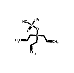 C=CC[Si](CC=C)(CC=C)OP(=O)(O)CCC